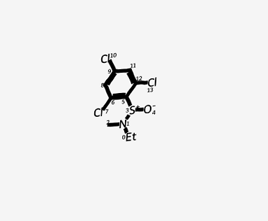 CCN(C)[S+]([O-])c1c(Cl)cc(Cl)cc1Cl